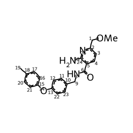 COCc1ccc(C(=O)NCc2ccc(Oc3ccc(C)cc3)cc2)c(N)n1